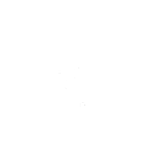 CCCCOc1cc(C=O)ccc1F